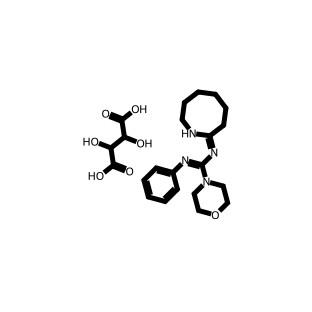 O=C(O)C(O)C(O)C(=O)O.c1ccc(N=C(N=C2CCCCCCN2)N2CCOCC2)cc1